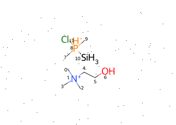 C[N+](C)(C)CCO.C[PH-](C)([SiH3])Cl